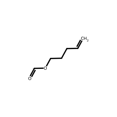 C=CCCCO[C]=O